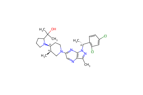 Cc1nn([C@H](C)c2ccc(Cl)cc2Cl)c2nc(N3CC[C@H](N4CCCC4C(C)(C)O)[C@H](C)C3)cnc12